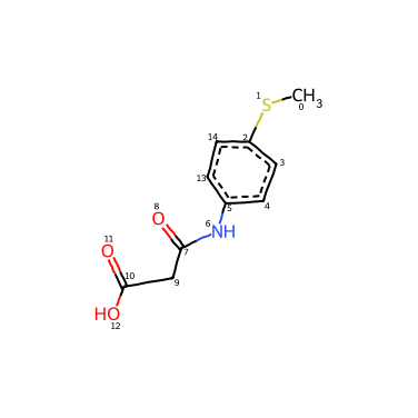 CSc1ccc(NC(=O)CC(=O)O)cc1